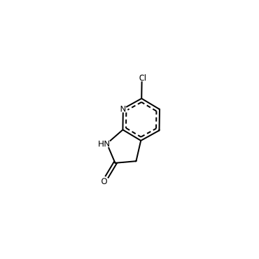 O=C1Cc2ccc(Cl)nc2N1